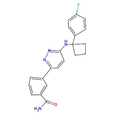 NC(=O)c1cccc(-c2ccc(NC3(c4ccc(F)cc4)CCC3)nn2)c1